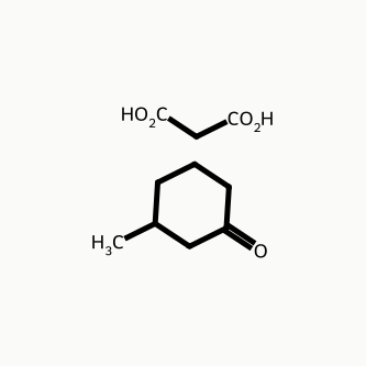 CC1CCCC(=O)C1.O=C(O)CC(=O)O